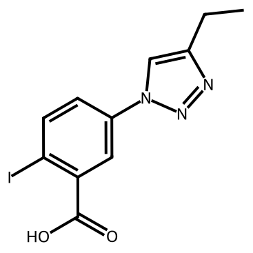 CCc1cn(-c2ccc(I)c(C(=O)O)c2)nn1